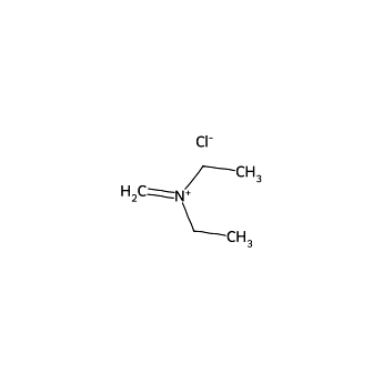 C=[N+](CC)CC.[Cl-]